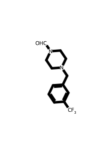 O=CN1CCN(Cc2cccc(C(F)(F)F)c2)CC1